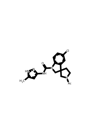 CC(=O)N1CCC2(C1)CN(C(=O)Nc1cc(C)[nH]n1)c1ccc(Cl)cc12